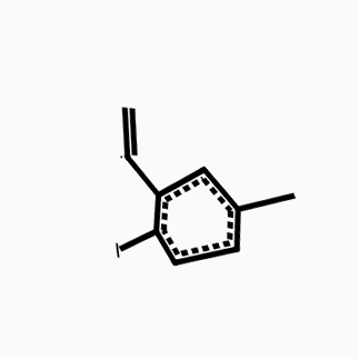 C=[C]c1cc(C)ccc1I